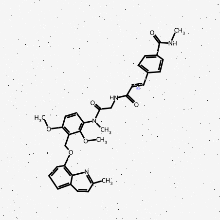 CNC(=O)c1ccc(/C=C/C(=O)NCC(=O)N(C)c2ccc(OC)c(COc3cccc4ccc(C)nc34)c2OC)cc1